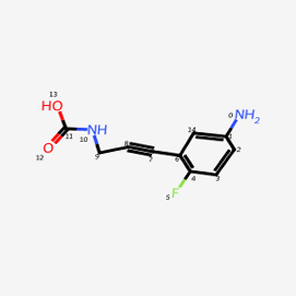 Nc1ccc(F)c(C#CCNC(=O)O)c1